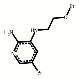 CCOCCNc1cc(Br)cnc1N